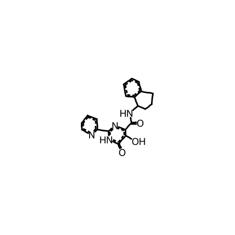 O=C(NC1CCCc2ccccc21)c1nc(-c2ccccn2)[nH]c(=O)c1O